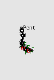 CCCCCC1CCC(C2CCC(/C=C/c3ccc(C(F)(F)Oc4cc(F)c(OC=C(F)F)c(F)c4)c(F)c3)CC2)CC1